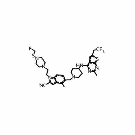 Cc1nc(NC2CCN(Cc3ccc4c(cc(C#N)n4CCN4CCN(SCF)CC4)c3C)CC2)c2cc(CC(F)(F)F)sc2n1